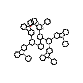 c1ccc(-c2nc(-c3ccccc3)nc(-c3ccc(-c4ccccc4-c4cc(-c5ccc6c(c5)C(c5ccccc5)c5ccccc5-6)cc(-c5ccc6c(c5)c5ccccc5n6-c5ccccc5)c4)c(-c4cc(-c5ccc6c(c5)c5ccccc5n6-c5ccccc5)cc(-c5ccc6c7ccccc7n(-c7ccccc7)c6c5)c4)c3)n2)cc1